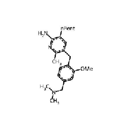 CCCCCc1cc(Cc2ccc(CN(C)C)cc2OC)c(C)nc1N